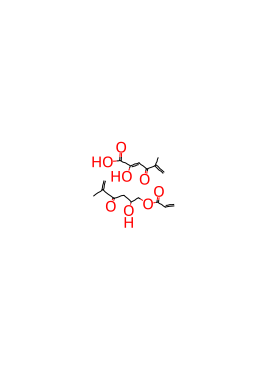 C=C(C)C(=O)C=C(O)C(=O)O.C=CC(=O)OCC(O)CC(=O)C(=C)C